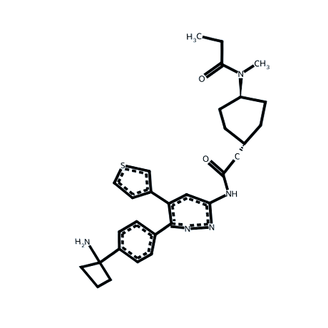 CCC(=O)N(C)[C@H]1CC[C@H](CC(=O)Nc2cc(-c3ccsc3)c(-c3ccc(C4(N)CCC4)cc3)nn2)CC1